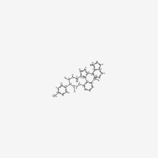 COc1cccc(OC)c1-n1c(NSC(C)C(OC)c2ncc(Cl)cn2)nnc1-c1ncnc2cc[nH]c12